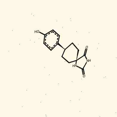 O=C1NC(=O)[C@]2(CC[C@H](c3ccc(O)cc3)CC2)N1